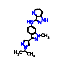 CC(C)n1cc(-c2nn(C)c3cc(Nc4n[nH]c5cccnc45)ccc23)cn1